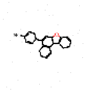 N#CC1=CCC(C2=CC3OC4=C(CCC=C4)C3C3=C2CCC=C3)C=C1